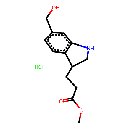 COC(=O)CCC1CNc2cc(CO)ccc21.Cl